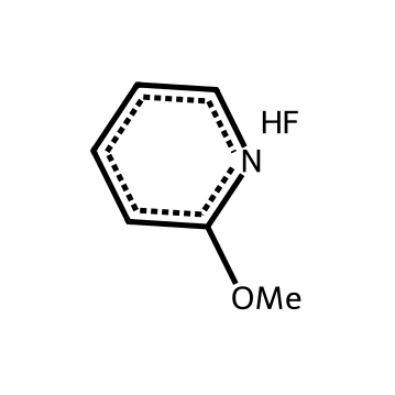 COc1ccccn1.F